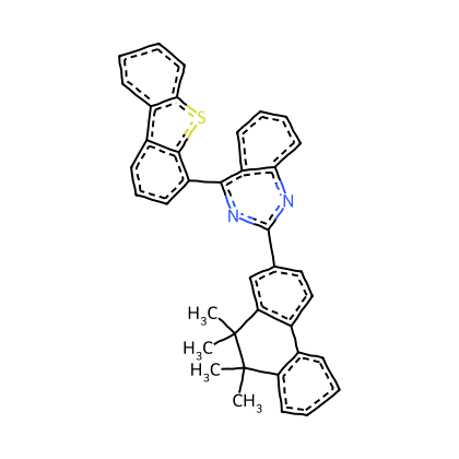 CC1(C)c2ccccc2-c2ccc(-c3nc(-c4cccc5c4sc4ccccc45)c4ccccc4n3)cc2C1(C)C